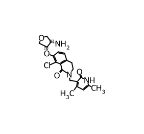 Cc1cc(C)c(CN2CCc3ccc(O[C@@H]4COC[C@@H]4N)c(Cl)c3C2=O)c(=O)[nH]1